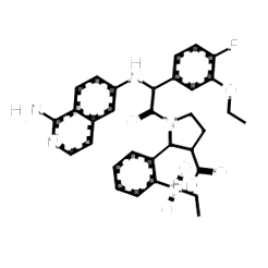 CCOc1cc(C(Nc2ccc3c(N)nccc3c2)C(=O)N2CCC(C(=O)O)C2c2ccccc2S(=O)(=O)CC)ccc1F